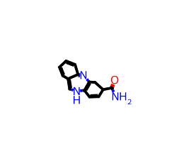 NC(=O)C1C=CC2=C(C1)N=c1ccccc1=CN2